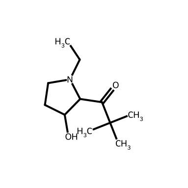 CCN1CCC(O)C1C(=O)C(C)(C)C